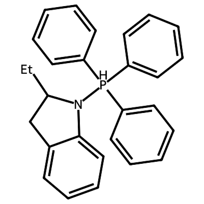 CCC1Cc2ccccc2N1[PH](c1ccccc1)(c1ccccc1)c1ccccc1